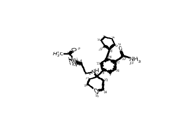 CC(=O)NCCNC1(c2ccc(C(N)=O)c(C3=CCCCC3)c2)CCOCC1